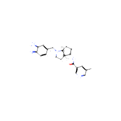 Cc1cncc(C(=O)N[C@H]2CC[C@@H]3[C@H]2CCN3Cc2ccc3nsnc3c2)c1